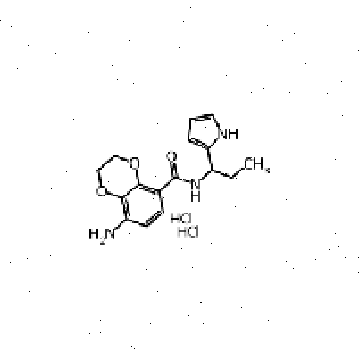 CCC(NC(=O)c1ccc(N)c2c1OCCO2)c1ccc[nH]1.Cl.Cl